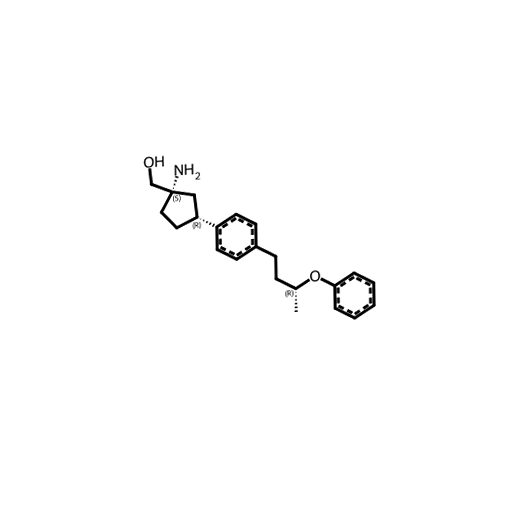 C[C@H](CCc1ccc([C@@H]2CC[C@@](N)(CO)C2)cc1)Oc1ccccc1